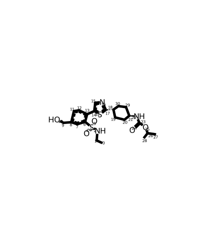 CCNS(=O)(=O)c1cc(CO)ccc1-c1cnc([C@H]2CC[C@H](NC(=O)OC(C)C)CC2)s1